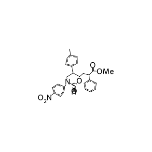 COC(=O)C(CCC(CN(c1ccc([N+](=O)[O-])cc1)[SH](=O)=O)c1ccc(C)cc1)c1ccccc1